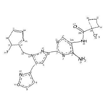 Nc1nc(-c2cc(-c3ccon3)n(CC3=CC=CCC3F)n2)ncc1NC(=O)C1(C(F)(F)F)CCC1